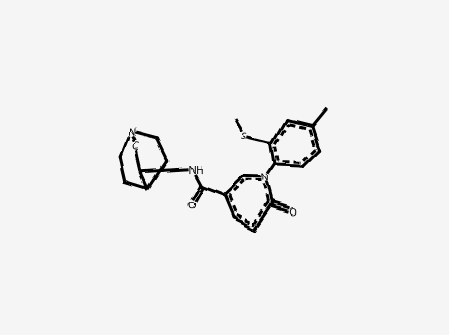 CSc1cc(C)ccc1-n1cc(C(=O)NC2CN3CCC2CC3)ccc1=O